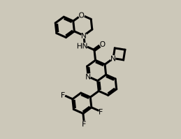 O=C(NN1CCOc2ccccc21)c1cnc2c(-c3cc(F)cc(F)c3F)cccc2c1N1CCC1